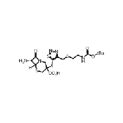 CC(C)(C)OC(=O)NCCSCc1nnsc1SC1(C(=O)O)CS[C@@H]2[C@H](N)C(=O)N2C1